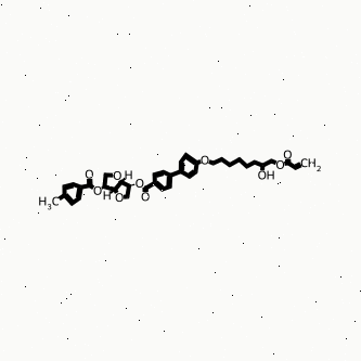 C=CC(=O)OCC(O)CCCCCCOc1ccc(-c2ccc(C(=O)O[C@@H]3CO[C@H]4[C@@H]3OC[C@@H]4OC(=O)c3ccc(C)cc3)cc2)cc1